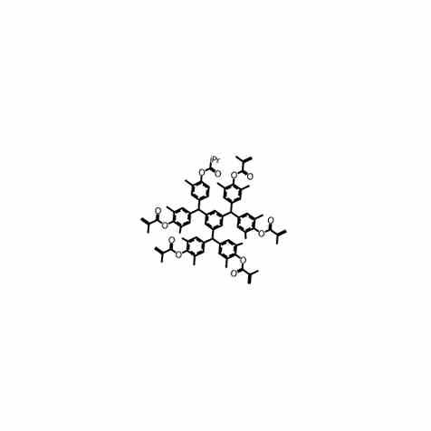 C=C(C)C(=O)Oc1c(C)cc(C(c2cc(C(c3cc(C)c(OC(=O)C(=C)C)c(C)c3)c3cc(C)c(OC(=O)C(=C)C)c(C)c3)cc(C(c3cc(C)c(OC(=O)C(=C)C)c(C)c3)c3cc(C)c(OC(=O)C(=C)C)c(C)c3)c2)c2ccc(OC(=O)C(C)C)c(C)c2)cc1C